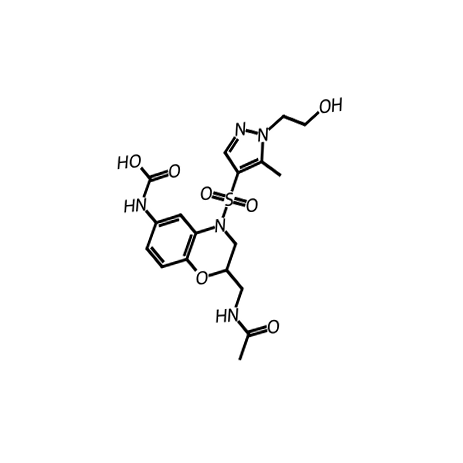 CC(=O)NCC1CN(S(=O)(=O)c2cnn(CCO)c2C)c2cc(NC(=O)O)ccc2O1